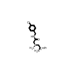 CCC[C@H](N)CN(C)CC(=O)NCc1ccc(Cl)cc1